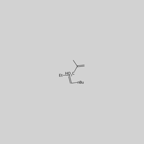 C=C(C)C(=O)O.CCC=CCCCC